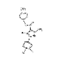 CCn1c(-c2ccc(Br)c(F)c2)nc(C)c1C(=O)Oc1ccc(OC)cc1